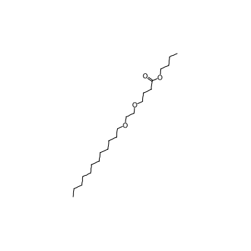 CCCCCCCCCCCCOCCOCCCC(=O)OCCCC